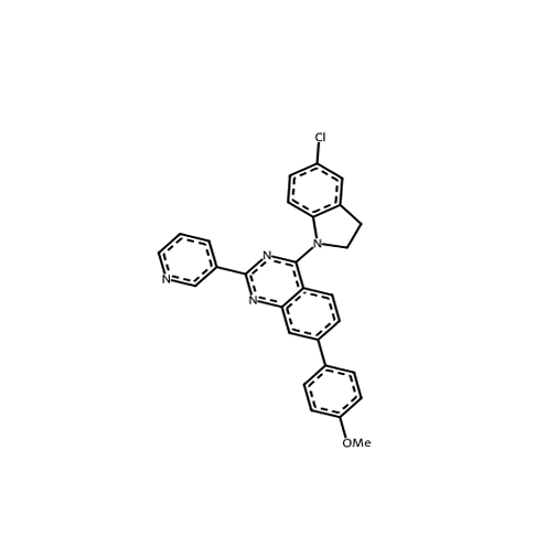 COc1ccc(-c2ccc3c(N4CCc5cc(Cl)ccc54)nc(-c4cccnc4)nc3c2)cc1